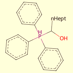 CCCCCCCC(O)[PH](c1ccccc1)(c1ccccc1)c1ccccc1